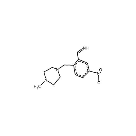 CN1CCN(Cc2ccc([N+](=O)[O-])cc2C=N)CC1